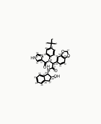 CC(C)(C)c1ccc(N(C(=O)c2c[nH]cn2)C(C(=O)N[C@@H]2c3ccccc3C[C@@H]2O)c2ccc3c(c2)OCO3)cc1